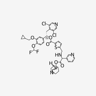 O=C(O[C@@H](Cc1c(Cl)cncc1Cl)c1ccc(OC(F)F)c(OCC2CC2)c1)c1ccc(CNC(C(=O)O[C@H]2CN3CCC2CC3)c2cccnc2)s1